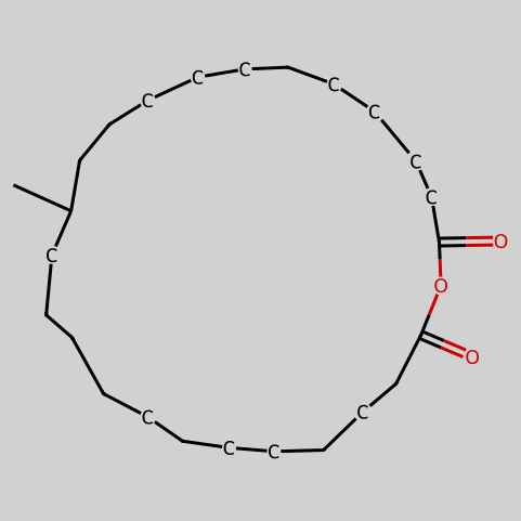 CC1CCCCCCCCCCCC(=O)OC(=O)CCCCCCCCCC1